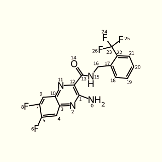 Nc1nc2cc(F)c(F)cc2nc1C(=O)NCc1ccccc1C(F)(F)F